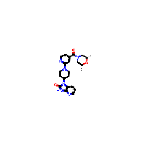 C[C@@H]1CN(C(=O)c2ccnc(N3CCC(n4c(=O)[nH]c5ncccc54)CC3)c2)C[C@H](C)O1